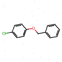 Clc1ccc(O[CH]c2ccccc2)cc1